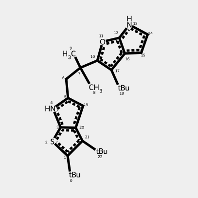 CC(C)(C)c1sc2[nH]c(CC(C)(C)c3oc4[nH]ccc4c3C(C)(C)C)cc2c1C(C)(C)C